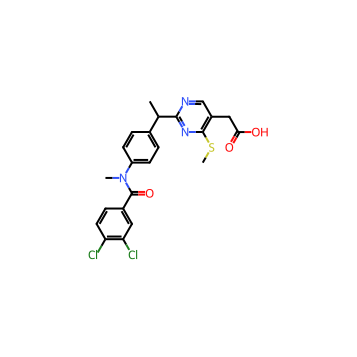 CSc1nc(C(C)c2ccc(N(C)C(=O)c3ccc(Cl)c(Cl)c3)cc2)ncc1CC(=O)O